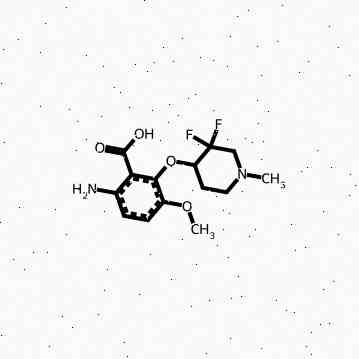 COc1ccc(N)c(C(=O)O)c1OC1CCN(C)CC1(F)F